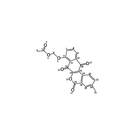 CC(=O)OCOc1cccc2c1C(=O)c1oc(=O)c3cc(C)ccc3c1C2=O